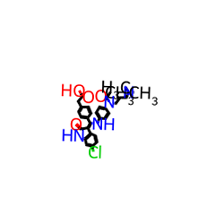 CC(=O)N(CCCN(C)C)c1ccc(NC(=C2C(=O)Nc3cc(Cl)ccc32)c2ccc(CC(=O)O)cc2)cc1